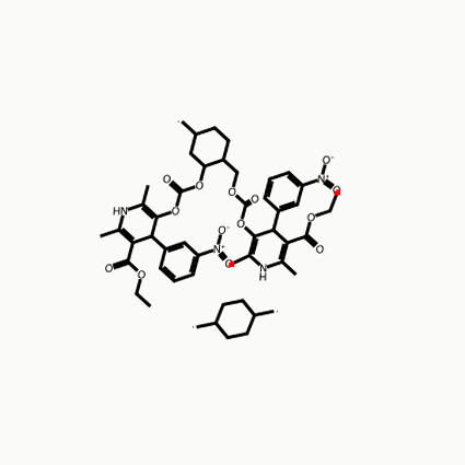 [CH2]C1CCC(COC(=O)OC2=C(C)NC(C)=C(C(=O)OCC)C2c2cccc([N+](=O)[O-])c2)C(OC(=O)OC2=C(C)NC(C)=C(C(=O)OCC)C2c2cccc([N+](=O)[O-])c2)C1.[CH2]C1CCC([CH2])CC1